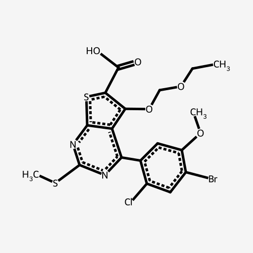 CCOCOc1c(C(=O)O)sc2nc(SC)nc(-c3cc(OC)c(Br)cc3Cl)c12